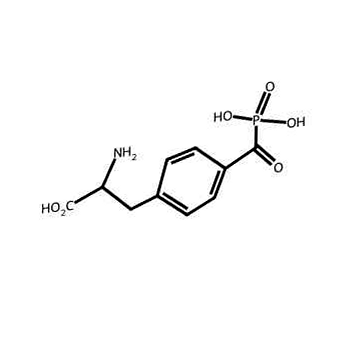 NC(Cc1ccc(C(=O)P(=O)(O)O)cc1)C(=O)O